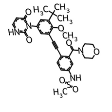 COc1c(C#Cc2ccc(NS(C)(=O)=O)cc2C(=O)N2CCOCC2)cc(-n2c(=O)cc[nH]c2=O)cc1C(C)(C)C